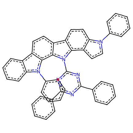 c1ccc(-c2nc(-c3ccccc3)nc(-n3c4c(ccc5c4ccn5-c4ccccc4)c4ccc5c6ccccc6n(-c6ccccc6)c5c43)n2)cc1